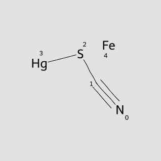 N#C[S][Hg].[Fe]